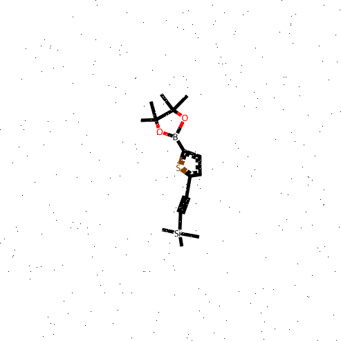 CC1(C)OB(c2ccc(C#C[Si](C)(C)C)s2)OC1(C)C